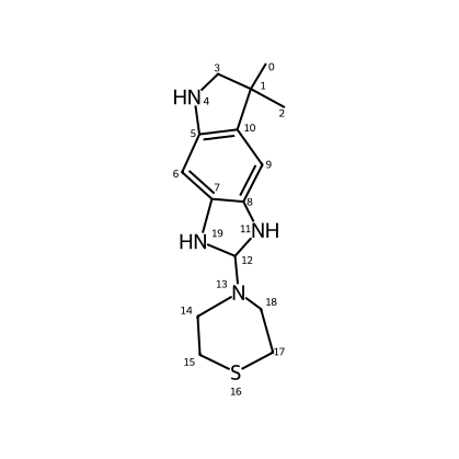 CC1(C)CNc2cc3c(cc21)NC(N1CCSCC1)N3